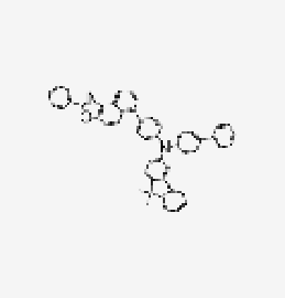 CC1(C)c2ccccc2-c2cc(N(c3ccc(-c4ccccc4)cc3)c3ccc(-c4cccc5c4ccc4oc(-c6ccccc6)nc45)cc3)ccc21